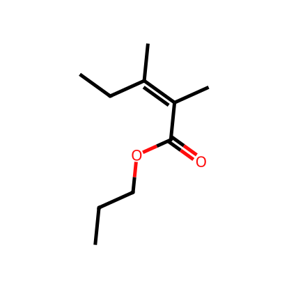 CCCOC(=O)C(C)=C(C)CC